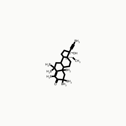 BC#C[C@]1(O)CCC2C3CC(B)(B)C4=C(B)C(=O)C(B)(B)CC4(B)C3CC[C@@]21CC